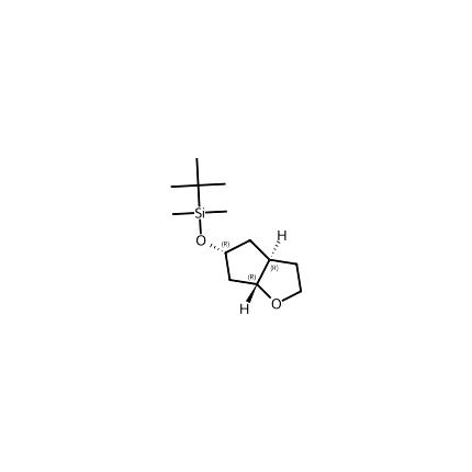 CC(C)(C)[Si](C)(C)O[C@@H]1C[C@H]2CCO[C@@H]2C1